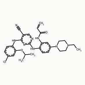 C=CC(=O)Nc1cc(N2CCN(CC)CC2)ccc1Nc1ncc(C#N)c(Nc2ccc(Cl)cc2OC(C)C)n1